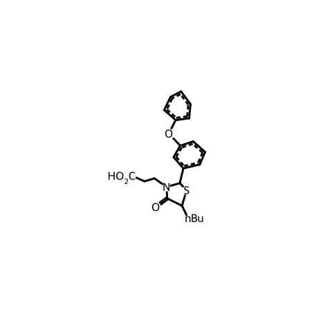 CCCCC1SC(c2cccc(Oc3ccccc3)c2)N(CCC(=O)O)C1=O